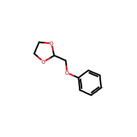 [c]1ccc(OCC2OCCO2)cc1